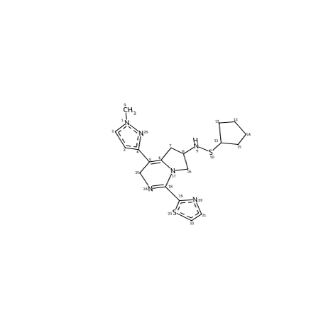 Cn1ccc(C2=C3CC(NSC4CCCC4)CN3C(c3nccs3)=NC2)n1